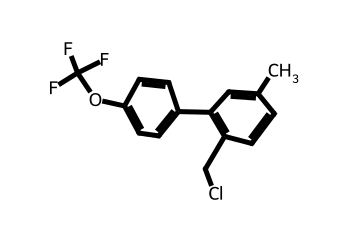 Cc1ccc(CCl)c(-c2ccc(OC(F)(F)F)cc2)c1